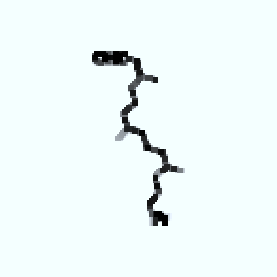 CC(=CC=O)CCCC(C)CCCC(C)CCCC(C)C